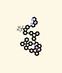 CC1(C)c2ccc(-c3ccc4ccc5cccnc5c4n3)cc2-c2c(-c3ccc4c5ccccc5c5cc(-c6cc7ccc8cccnc8c7nc6-c6ccc7c(c6)-c6c(-c8ccc9c%10ccccc%10c%10ccccc%10c9c8)cccc6C76c7ccccc7-c7ccccc76)ccc5c4c3)cccc21